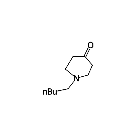 CCCCCN1CCC(=O)CC1